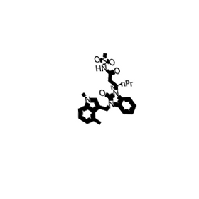 CCC[C@@H](CC(=O)NS(C)(=O)=O)n1c(=O)n(Cc2cn(C)c3cccc(C)c23)c2ccccc21